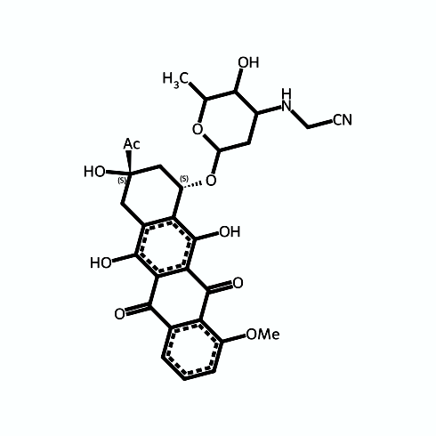 COc1cccc2c1C(=O)c1c(O)c3c(c(O)c1C2=O)C[C@@](O)(C(C)=O)C[C@@H]3OC1CC(NCC#N)C(O)C(C)O1